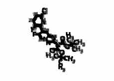 CC(C)(C)OC(=O)N(C(=O)OC(C)(C)C)c1nc2cc(-c3nc(Cl)ccc3F)c(F)cn2n1